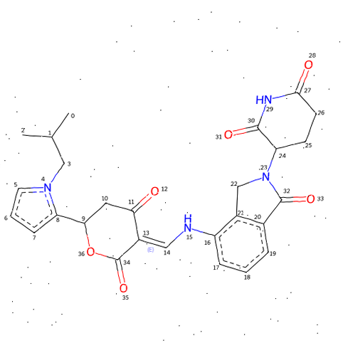 CC(C)Cn1cccc1C1CC(=O)/C(=C\Nc2cccc3c2CN(C2CCC(=O)NC2=O)C3=O)C(=O)O1